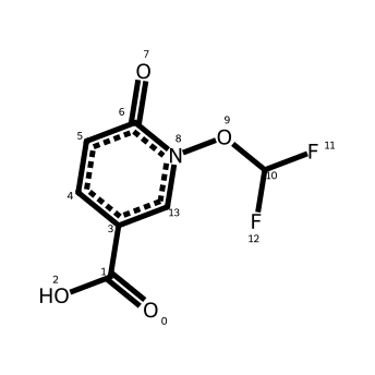 O=C(O)c1ccc(=O)n(OC(F)F)c1